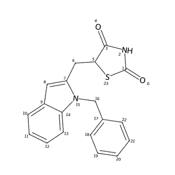 O=C1NC(=O)C(Cc2cc3ccccc3n2Cc2ccccc2)S1